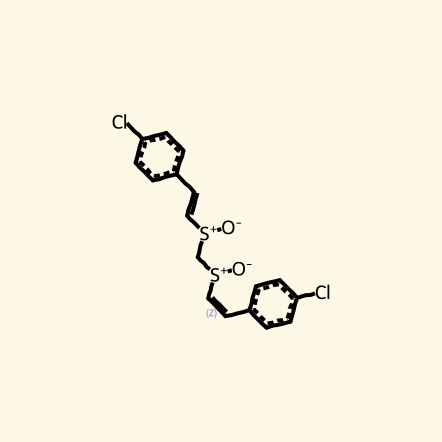 [O-][S+](C=Cc1ccc(Cl)cc1)C[S+]([O-])/C=C\c1ccc(Cl)cc1